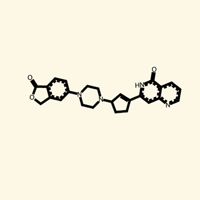 O=C1OCc2cc(N3CCN(C4C=C(c5cc6ncccc6c(=O)[nH]5)CC4)CC3)ccc21